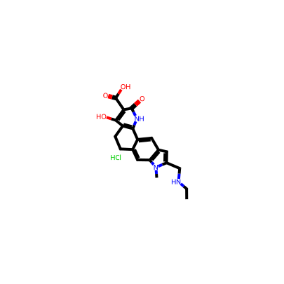 CCNCc1cc2cc3c(cc2n1C)CCc1c-3[nH]c(=O)c(C(=O)O)c1O.Cl